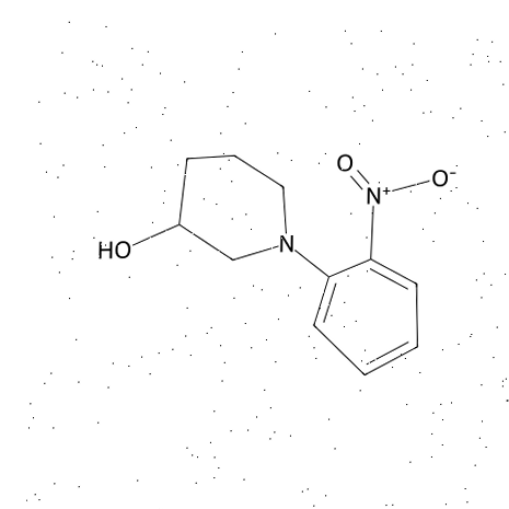 O=[N+]([O-])c1ccccc1N1CCCC(O)C1